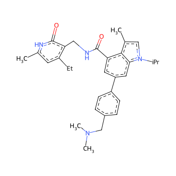 CCc1cc(C)[nH]c(=O)c1CNC(=O)c1cc(-c2ccc(CN(C)C)cc2)cc2c1c(C)cn2C(C)C